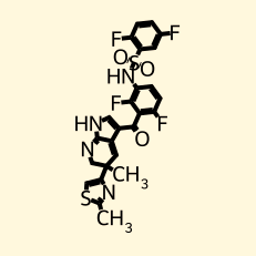 Cc1nc(C2(C)C=c3c(C(=O)c4c(F)ccc(NS(=O)(=O)c5cc(F)ccc5F)c4F)c[nH]c3=NC2)cs1